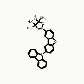 CC1(C)OB(C2=CC3c4cc(-n5c6ccccc6c6ccccc65)ccc4OC3C=C2)OC1(C)C